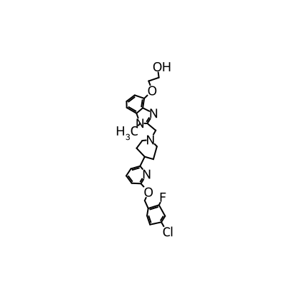 Cn1c(CN2CCC(c3cccc(OCc4ccc(Cl)cc4F)n3)CC2)nc2c(OCCO)cccc21